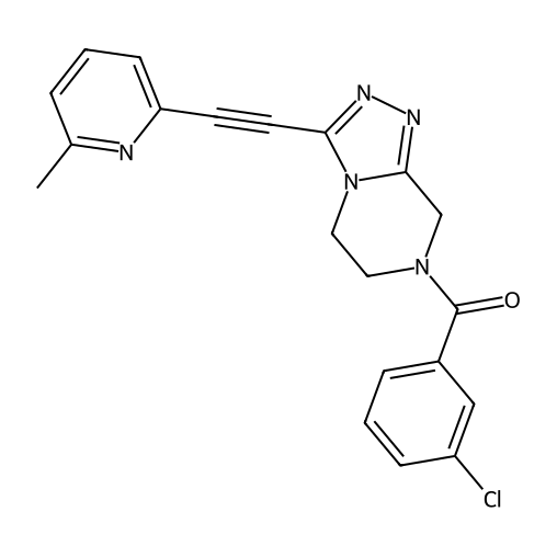 Cc1cccc(C#Cc2nnc3n2CCN(C(=O)c2cccc(Cl)c2)C3)n1